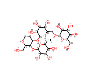 CC1OC(OC2C(CO)OCCC2OC2OC(COC3OC(CO)C(O)C(O)C3O)C(O)C(O)C2O)C(O)C(O)C1O